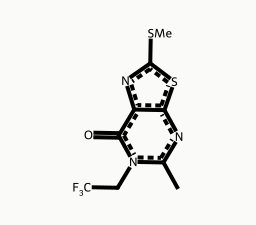 CSc1nc2c(=O)n(CC(F)(F)F)c(C)nc2s1